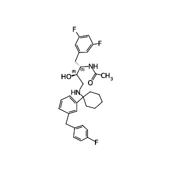 CC(=O)N[C@@H](Cc1cc(F)cc(F)c1)[C@H](O)CNC1(c2cccc(Cc3ccc(F)cc3)c2)CCCCC1